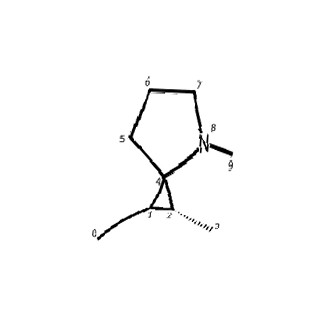 CC1[C@@H](C)C12CCCN2C